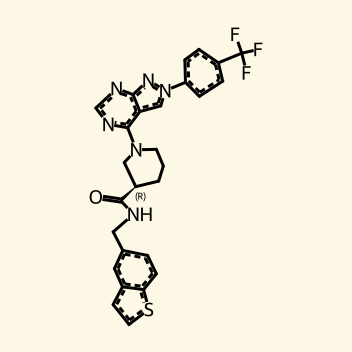 O=C(NCc1ccc2sccc2c1)[C@@H]1CCCN(c2ncnc3nn(-c4ccc(C(F)(F)F)cc4)cc23)C1